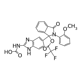 COc1ccccc1N1C(=O)c2ccccc2C1(OC(=O)C(F)(F)F)c1ccc2[nH]c(NC(=O)O)nc2c1